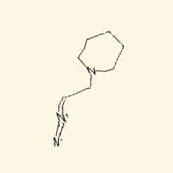 [N-]=[N+]=CCN1CCCCC1